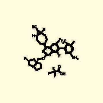 Cc1cc(N)nc(-c2c(F)cc3c(N4CC[C@@H]5C(C#N)[C@@H]5CC4)nc(OC[C@@]45CCCN4C[C@H](F)C5)nc3c2F)c1C(F)(F)F.O=C(O)C(F)(F)F